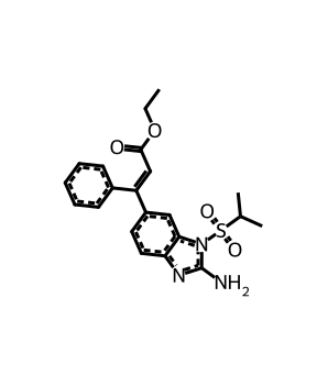 CCOC(=O)C=C(c1ccccc1)c1ccc2nc(N)n(S(=O)(=O)C(C)C)c2c1